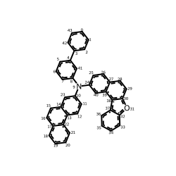 c1ccc(-c2cccc(N(c3ccc4c(ccc5ccccc54)c3)c3ccc4ccc5oc6ccccc6c5c4c3)c2)cc1